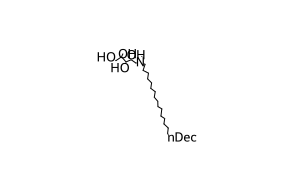 CCCCCCCCCCCCCCCCCCCCCCCCCCN(C)CC(O)C(O)C(O)CO